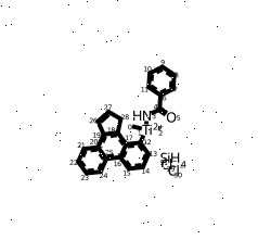 [CH3][Ti+2]([CH3])([NH]C(=O)c1ccccc1)[c]1cccc2c1c1c(c3ccccc32)C=CC1.[Cl-].[Cl-].[SiH4]